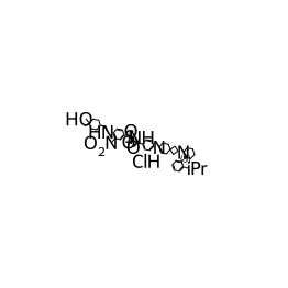 CC(C)c1ccccc1[C@@H]1CCCCN1C1CC2(CCN(c3ccc(C(=O)NS(=O)(=O)c4ccc(NCC5CCC(C)(O)CC5)c([N+](=O)[O-])c4)cc3)CC2)C1.Cl